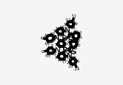 Cc1ccc(N2c3cc4c(cc3B3c5c2cccc5N(c2ccc(C)cc2)c2sc5ccccc5c23)B2c3sc5ccccc5c3N(c3ccc(C)cc3)c3cccc(c32)N4c2ccc(C)cc2)cc1